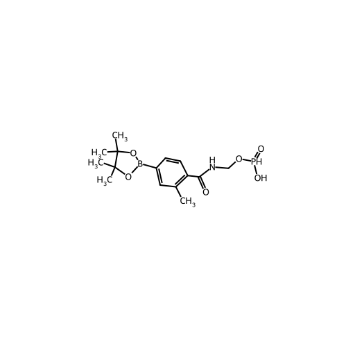 Cc1cc(B2OC(C)(C)C(C)(C)O2)ccc1C(=O)NCO[PH](=O)O